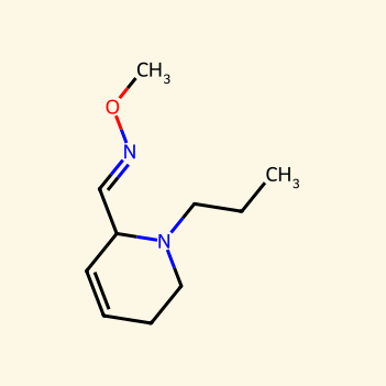 CCCN1CCC=CC1C=NOC